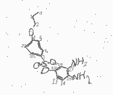 CCCOc1ccc(S(=O)(=O)Oc2ccc(N)c(N)c2)cc1